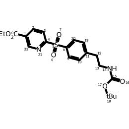 CCOC(=O)c1ccc(S(=O)(=O)c2ccc(CCNC(=O)OC(C)(C)C)cc2)nc1